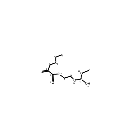 C=C(CSCC)C(=O)OCCOP(O)OC